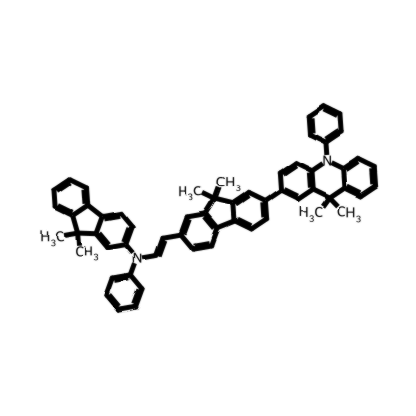 CC1(C)c2cc(/C=C/N(c3ccccc3)c3ccc4c(c3)C(C)(C)c3ccccc3-4)ccc2-c2ccc(-c3ccc4c(c3)C(C)(C)c3ccccc3N4c3ccccc3)cc21